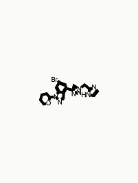 Brc1cc(-c2cn(Cc3ncc[nH]3)nn2)c2cnn(C3CCCCO3)c2c1